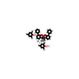 CCC1=Cc2c(-c3ccccc3)cccc2[CH]1[Zr]([CH3])([CH3])(=[SiH2])[CH]1C(CC)=Cc2c(-c3ccccc3)cccc21.Cc1cc(C)c(O)c(C)c1.Cc1cc(C)c(O)c(C)c1